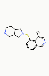 Cc1cncc2cccc(SN3CC4CCNCC4C3)c12